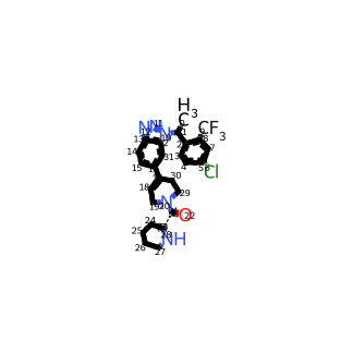 CC(c1ccc(Cl)cc1C(F)(F)F)n1nnc2ccc(C3=CCN(C(=O)[C@H]4CCCCN4)CC3)cc21